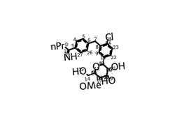 CCCC(=N)c1ccc(Cc2cc([C@@H]3O[C@H](CO)[C@@H](OC)[C@H](O)[C@H]3O)ccc2Cl)cc1